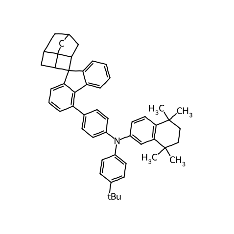 CC(C)(C)c1ccc(N(c2ccc(-c3cccc4c3-c3ccccc3C43C4CC5CC6CC3C64C5)cc2)c2ccc3c(c2)C(C)(C)CCC3(C)C)cc1